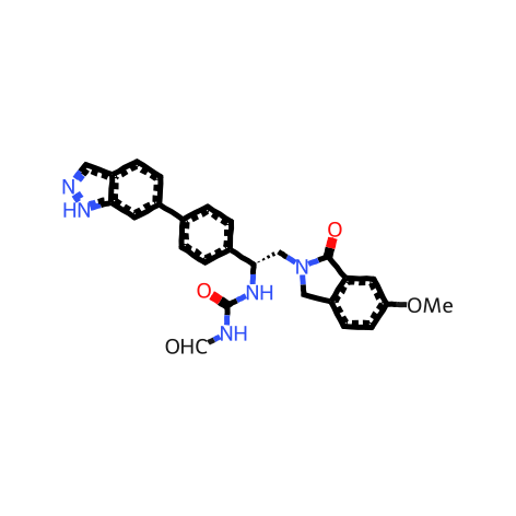 COc1ccc2c(c1)C(=O)N(C[C@H](NC(=O)NC=O)c1ccc(-c3ccc4cn[nH]c4c3)cc1)C2